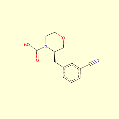 N#Cc1cccc(C[C@@H]2COCCN2C(=O)O)c1